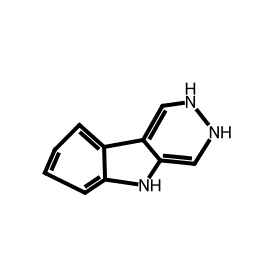 C1=c2[nH]c3ccccc3c2=CNN1